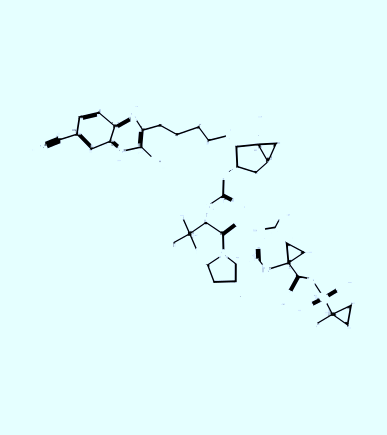 C[C@@H]1CCN(C(=O)[C@@H](NC(=O)O[C@@H]2CC3C[C@@H]3[C@H]2CCCCCc2nc3ccc(C#N)cc3nc2O)C(C)(C)C)[C@@H]1C(=O)NC1(C(=O)NS(=O)(=O)C2(C)CC2)C[C@H]1C(F)F